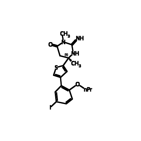 CCCOc1ccc(I)cc1-c1csc([C@]2(C)CC(=O)N(C)C(=N)N2)c1